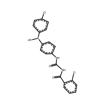 CCCN(c1ccc(Cl)cc1)c1ccc(NC(=O)NC(=O)c2ccccc2Cl)cc1